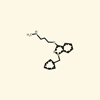 CNCCCOc1nn(Cc2ccccc2)c2ccccc12